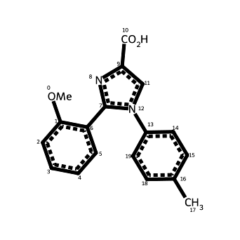 COc1ccccc1-c1nc(C(=O)O)cn1-c1ccc(C)cc1